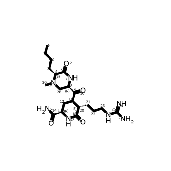 CCCC[C@H]1C(=O)N[C@@H](C(=O)C2C[C@H](C(N)=O)NC(=O)[C@H]2CCCNC(=N)N)CN1C